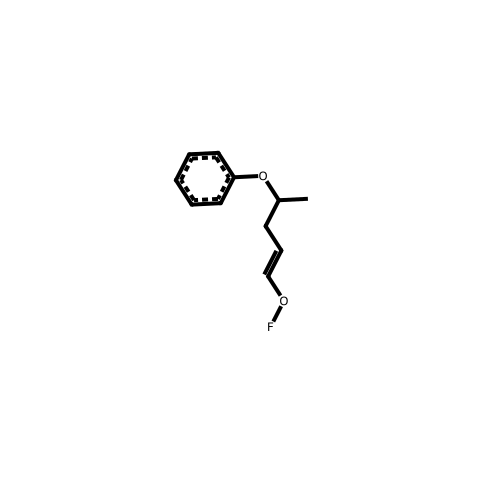 CC(CC=COF)Oc1ccccc1